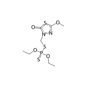 CCOP(=S)(OCC)SCn1nc(OC)sc1=O